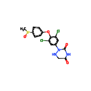 C[S+]([O-])c1ccc(Oc2c(Cl)cc(N3NCC(=O)NC3=O)cc2Cl)cc1